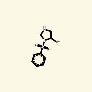 CC(C)C1CNCN1S(=O)(=O)c1ccccc1